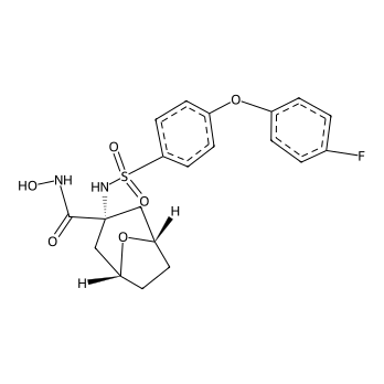 O=C(NO)[C@]1(NS(=O)(=O)c2ccc(Oc3ccc(F)cc3)cc2)C[C@H]2CC[C@@H](C1)O2